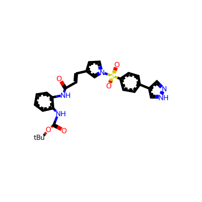 CC(C)(C)OC(=O)Nc1ccccc1NC(=O)C=Cc1ccn(S(=O)(=O)c2ccc(-c3cn[nH]c3)cc2)c1